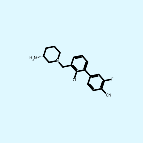 N#Cc1ccc(-c2cccc(CN3CCC[C@@H](N)C3)c2Cl)cc1F